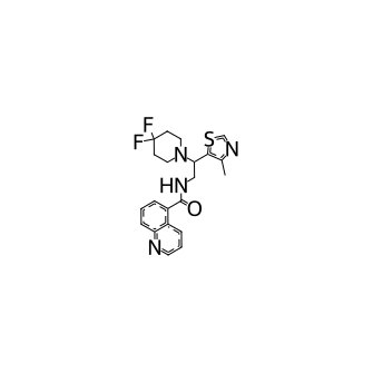 Cc1ncsc1C(CNC(=O)c1cccc2ncccc12)N1CCC(F)(F)CC1